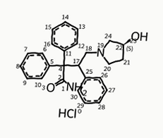 Cl.NC(=O)C(c1ccccc1)(c1ccccc1)C(CN1CC[C@H](O)C1)c1ccccc1